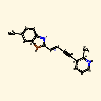 COc1ccc2nc(/C=C/C#Cc3cc[c]nc3[N+](=O)[O-])sc2c1